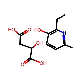 CCc1nc(C)ccc1O.O=C(O)CC(O)C(=O)O